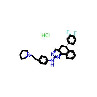 Cl.Fc1ccc([C@H]2Cc3cnc(Nc4ccc(CCN5CCCCC5)cc4)nc3-c3ccccc32)cc1F